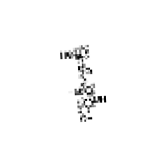 C[C@]12CC[C@@H](O)CC1C[C@@H](O)C1C2C[C@H](O)[C@]2(C)C(CCCC(=O)OCOC34CC5CC(CC(O)(C5)C3)C4)CCC12